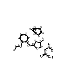 CCOc1ccccc1SC1C[C@@H](C)[C@H](C(NC)C(=O)O)O1.c1cc2cc-2c1